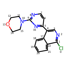 Clc1ncc(-c2ccnc(N3CCOCC3)n2)c2ccccc12